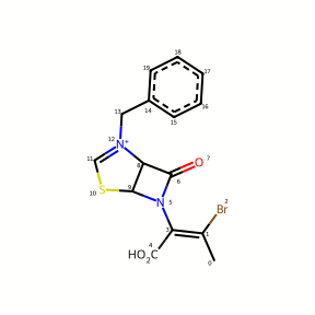 CC(Br)=C(C(=O)O)N1C(=O)C2C1SC=[N+]2Cc1ccccc1